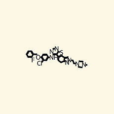 CN1CCN(CCn2cc3c(n2)CCc2c-3sc3ncnc(Nc4ccc(OCc5ccccc5F)c(Cl)c4)c23)CC1